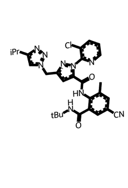 Cc1cc(C#N)cc(C(=O)NC(C)(C)C)c1NC(=O)c1cc(Cn2cc(C(C)C)nn2)nn1-c1ncccc1Cl